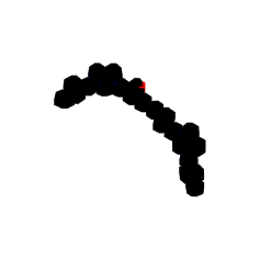 c1ccc(-c2cccc3c(-c4ccc(N5c6ccccc6B6c7ccccc7N(c7ccc(-c8cccc9c(-c%10ccc(-c%11ccc(-c%12ccc(-c%13ccc(N%14c%15ccccc%15B%15c%16ccccc%16N(c%16ccc(-c%17ccc(-c%18ccccc%18)c%18ccccc%17%18)cc%16)c%16cccc%14c%16%15)cc%13)c%13ccccc%12%13)cc%11)cc%10)cccc89)cc7)c7cccc5c76)cc4)cccc23)cc1